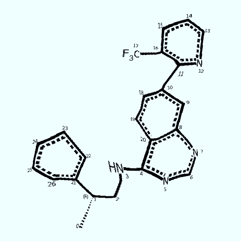 C[C@@H](CNc1ncnc2cc(-c3ncccc3C(F)(F)F)ccc12)c1ccccc1